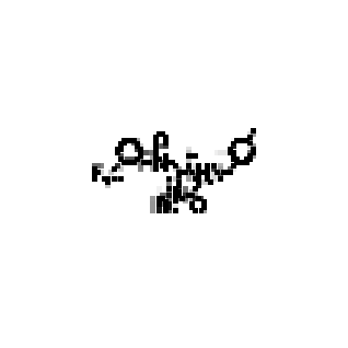 CCC(C)NC(=O)C(CNCc1ccc(C)cc1C)NC(=O)CNC(=O)c1cccc(C(F)(F)F)c1